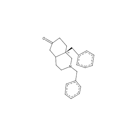 O=C1CC[C@]2(Cc3ccccc3)CN(Cc3ccccc3)CCC2C1